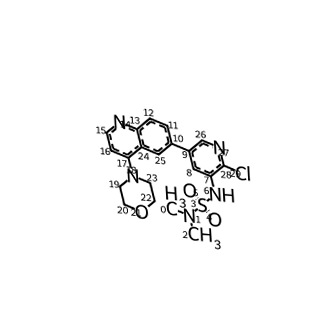 CN(C)S(=O)(=O)Nc1cc(-c2ccc3nccc(N4CCOCC4)c3c2)cnc1Cl